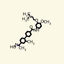 COc1ccc(NC(=O)c2ccc(-c3ccc(/C(C)=N/O)cc3C)cc2)cc1OCCN(C)C